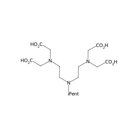 CCCC(C)N(CCN(CC(=O)O)CC(=O)O)CCN(CC(=O)O)CC(=O)O